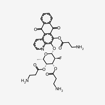 C[C@@H]1O[C@H](Oc2c(OC(=O)CCN)c3c(c4cccnc24)C(=O)c2ccccc2C3=O)[C@@H](F)[C@H](OC(=O)CCN)[C@@H]1OC(=O)CCN